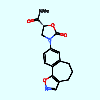 CNC(=O)[C@H]1CN(c2ccc3c(c2)CCCc2cnoc2-3)C(=O)O1